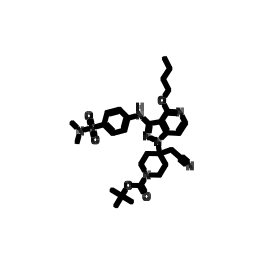 CCCCOc1nccc2c1c(Nc1ccc(S(=O)(=O)N(C)C)cc1)nn2C1(CC#N)CCN(C(=O)OC(C)(C)C)CC1